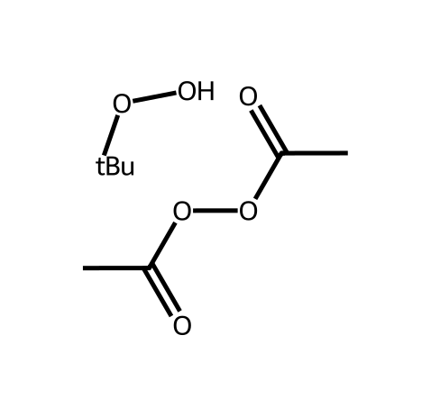 CC(=O)OOC(C)=O.CC(C)(C)OO